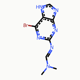 CN(C)C=Nc1nc(Br)c2[nH]cnc2n1